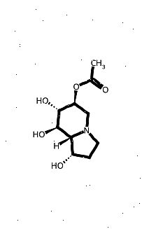 CC(=O)O[C@H]1CN2CC[C@H](O)[C@@H]2[C@@H](O)[C@@H]1O